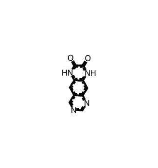 O=c1[nH]c2cc3cncnc3cc2[nH]c1=O